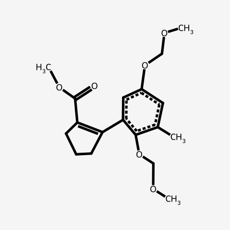 COCOc1cc(C)c(OCOC)c(C2=C(C(=O)OC)CCC2)c1